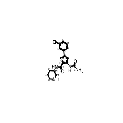 NC(=O)Nc1cc(-c2cccc(Cl)c2)sc1C(=O)N[C@H]1CCCNC1